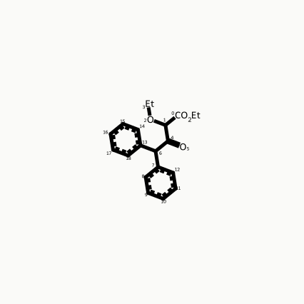 CCOC(=O)C(OCC)C(=O)C(c1ccccc1)c1ccccc1